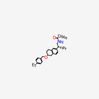 CCCC(CNC(=O)OC)c1ccc2c(c1)CCC(OCc1ccc(CC)cc1)C2